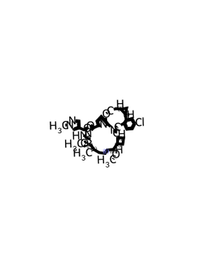 CC[C@@H]1[C@@H](C)C/C=C/[C@H](OC)[C@@H]2CC[C@H]2CN2Cc3ccc(Cl)cc3[C@H]3C[C@H]3CCOc3ccc(nc32)C(=O)N=S1(=O)NC(=O)c1cnn(C)c1